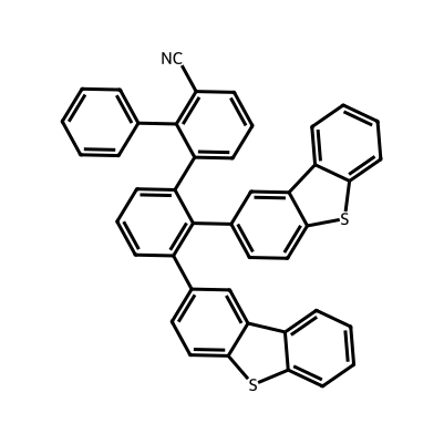 N#Cc1cccc(-c2cccc(-c3ccc4sc5ccccc5c4c3)c2-c2ccc3sc4ccccc4c3c2)c1-c1ccccc1